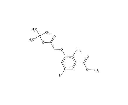 COC(=O)c1cc(Br)cc(OCC(=O)OC(C)(C)C)c1C